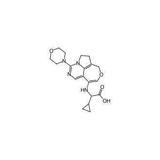 O=C(O)C(NC1=COCC2=C3C1=CN=C(N1CCOCC1)N3CC2)C1CC1